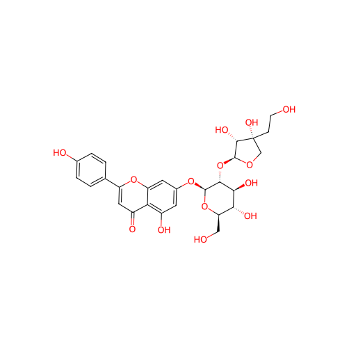 O=c1cc(-c2ccc(O)cc2)oc2cc(O[C@@H]3O[C@H](CO)[C@@H](O)[C@H](O)[C@H]3O[C@@H]3OC[C@](O)(CCO)[C@H]3O)cc(O)c12